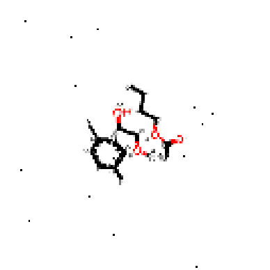 CCCCOC(C)=O.CCCCOCCO.Cc1ccc(C)cc1